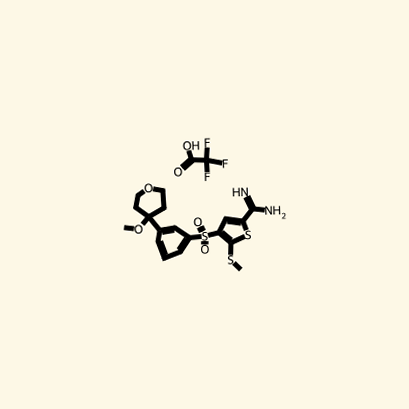 COC1(c2cccc(S(=O)(=O)c3cc(C(=N)N)sc3SC)c2)CCOCC1.O=C(O)C(F)(F)F